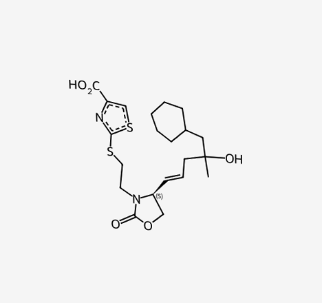 CC(O)(CC=C[C@H]1COC(=O)N1CCSc1nc(C(=O)O)cs1)CC1CCCCC1